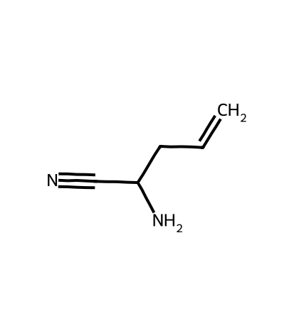 C=CCC(N)C#N